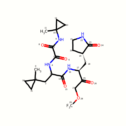 CC1(CC(NC(=O)C(=O)NC2(C)CC2)C(=O)N[C@@H](C[C@@H]2CCNC2=O)C(=O)COC(F)(F)F)CC1